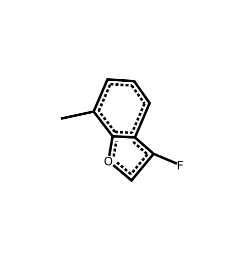 Cc1cccc2c(F)coc12